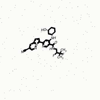 CC(C)(F)C(F)CNC(=O)c1cnc(-c2ccc3cc(C#N)cnn23)cc1N[C@H]1CCC[C@@H](O)C1